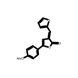 COc1ccc(C2=C/C(=C\c3cccs3)C(=O)O2)cc1